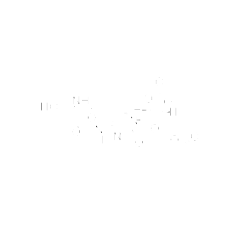 CC(C)C(=O)OCC1O[C@@H](n2ccc(NOC(=O)[C@H](N)CO)nc2=O)[C@@H]2OC(=O)O[C@H]12